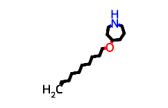 C=CCCCCCCCCOC1CCCNCC1